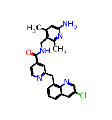 Cc1cc(N)nc(C)c1CNC(=O)c1ccnc(Cc2cccc3cc(Cl)cnc23)c1